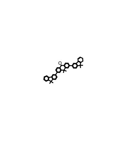 CC1(C)C2=C(C=CCC2)c2cc(-c3ccc4c(c3)C(C)(C)c3cc(-c5ccc6c(c5)-c5ccccc5C6(C)C)ccc3C4=O)ccc21